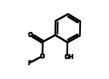 O=C(OF)c1ccccc1O